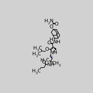 CCCC(=O)NC(C)(C)/C=C/n1ncc(C(=O)N[C@H]2C3CC4CC2C[C@](OC(N)=O)(C4)C3)c1OCC(C)C